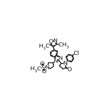 Cc1noc(C)c1-c1ccc2c(c1)nc(C1CCC(=O)N1c1ccc(Cl)cc1)n2C1CCN(S(C)(=O)=O)C1